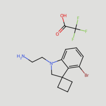 NCCN1CC2(CCC2)c2c(Br)cccc21.O=C(O)C(F)(F)F